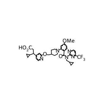 COc1ccc(C(=O)N(CC2CC2)c2nccc(C(F)(F)F)n2)c(N2CCC(COc3cc(C(CC(=O)O)C4CC4)ccn3)CC2)c1